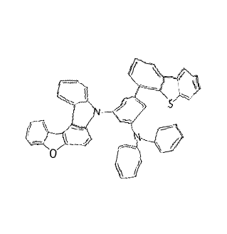 c1ccc(N(c2ccccc2)c2cc(-c3cccc4c3sc3ccccc34)cc(-n3c4ccccc4c4c5c(ccc43)oc3ccccc35)c2)cc1